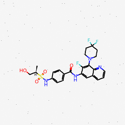 C[C@H](CO)S(=O)(=O)Nc1ccc(C(=O)Nc2cc3cccnc3c(N3CCC(F)(F)CC3)c2F)cc1